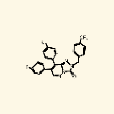 O=c1n(Cc2ccc(C(F)(F)F)cc2)nc2c(-c3ccc(Cl)cc3)c(-c3ccc(F)cc3)cnn12